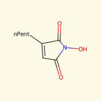 CCCCCC1=CC(=O)N(O)C1=O